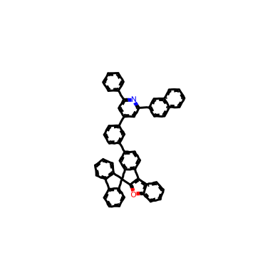 c1ccc(-c2cc(-c3cccc(-c4ccc5c(c4)C4(c6ccccc6-c6ccccc64)c4oc6ccccc6c4-5)c3)cc(-c3ccc4ccccc4c3)n2)cc1